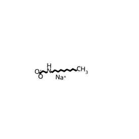 CCCCCCCCCCNCCC(=O)[O-].[Na+]